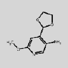 COc1cc(C2OCCO2)c(N)cn1